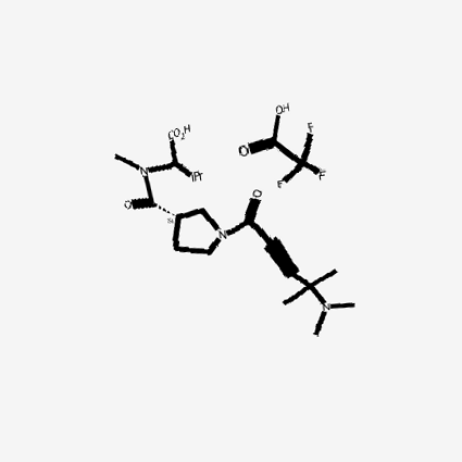 CC(C)C(C(=O)O)N(C)C(=O)[C@H]1CCN(C(=O)C#CC(C)(C)N(C)C)C1.O=C(O)C(F)(F)F